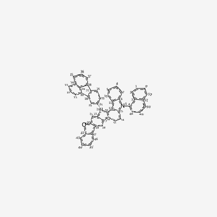 c1ccc2c(-n3c4ccccc4c4c3ccc3c5cc6c(cc5n(-c5ccc7c(c5)-c5cccc8cccc-7c58)c34)oc3ccccc36)cccc2c1